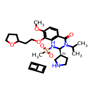 COc1ccc(C(=O)N(C(C)C)C(NS(C)(=O)=O)[C@H]2CCNC2)cc1OCCC1CCCO1.c1cc2ccc1-2